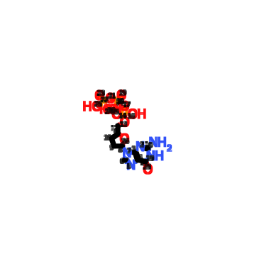 Nc1nc2c(ncn2C2CCC(COP(=O)(O)O[P@](=O)(O)OP(=O)(O)O)O2)c(=O)[nH]1